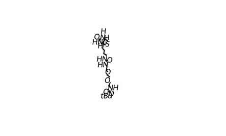 CC(C)(C)OC(=O)NCCOCCOCCNC(=O)NCCCC[C@@H]1SC[C@@H]2NC(=O)N[C@@H]21